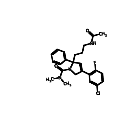 CC(=O)NCCCC1(c2ccccc2)C=C(c2cc(Cl)ccc2F)CN1C(=O)N(C)C